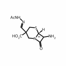 CC(=O)NN=CC1(C(=O)O)CS[C@@H]2C(N)C(=O)N2C1